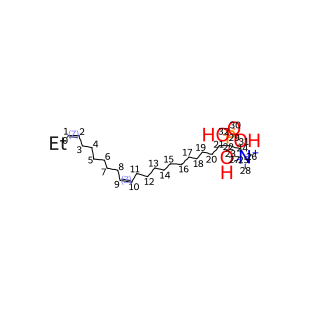 CC/C=C\CCCCCC/C=C\CCCCCCCCCCCC(O)(C[N+](C)(C)C)P(=O)(O)O